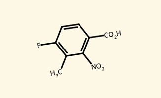 Cc1c(F)ccc(C(=O)O)c1[N+](=O)[O-]